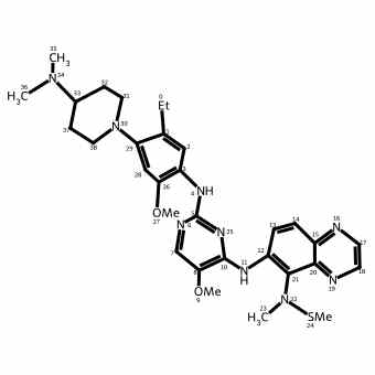 CCc1cc(Nc2ncc(OC)c(Nc3ccc4nccnc4c3N(C)SC)n2)c(OC)cc1N1CCC(N(C)C)CC1